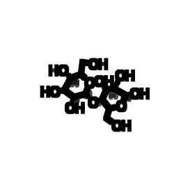 OCC1O[C@@H](O[C@H]2C(CO)O[C@H](O)[C@H](O)C2O)[C@H](O)C(O)[C@H]1O